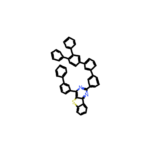 c1ccc(-c2cccc(-c3nc(-c4cccc(-c5cccc(-c6ccc(-c7ccccc7)c(-c7ccccc7)c6)c5)c4)nc4c3sc3ccccc34)c2)cc1